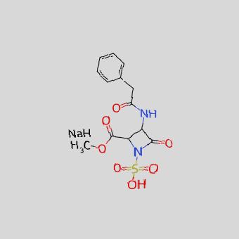 COC(=O)C1C(NC(=O)Cc2ccccc2)C(=O)N1S(=O)(=O)O.[NaH]